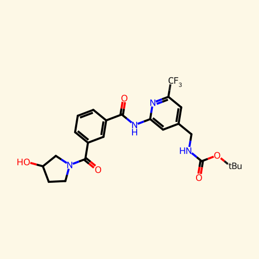 CC(C)(C)OC(=O)NCc1cc(NC(=O)c2cccc(C(=O)N3CCC(O)C3)c2)nc(C(F)(F)F)c1